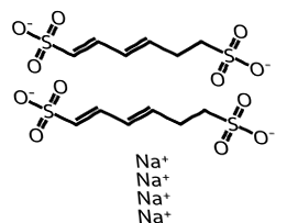 O=S(=O)([O-])C=CC=CCCS(=O)(=O)[O-].O=S(=O)([O-])C=CC=CCCS(=O)(=O)[O-].[Na+].[Na+].[Na+].[Na+]